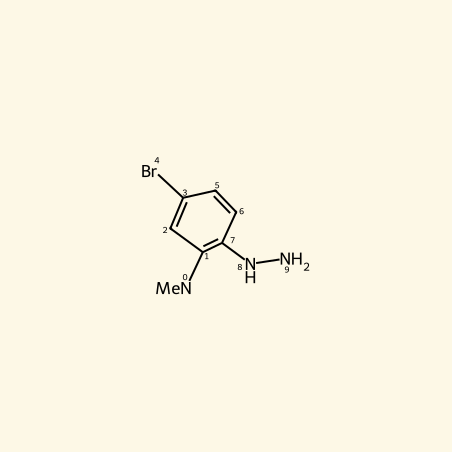 CNc1cc(Br)ccc1NN